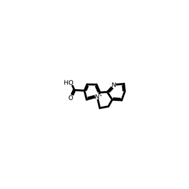 O=C(O)c1ccc2[n+](c1)CCc1cccnc1-2